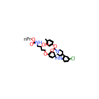 CCCOC(=O)NCC(O)CCOC1=CCC(C)([C@H]2c3[nH]c4ccc(Cl)cc4c3CCN2C(=O)Oc2ccc(C)cc2)C=C1